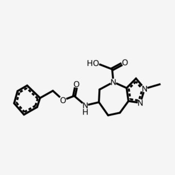 Cn1cc2c(n1)CCC(NC(=O)OCc1ccccc1)CN2C(=O)O